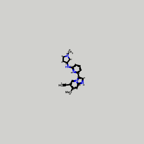 C#Cc1cn2c(-c3cccc(NC4CCN(C)C4)n3)cnc2cc1OC